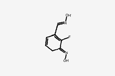 ON=CC1=C(F)C(=NO)CC=C1